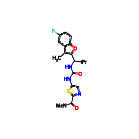 CNC(=O)c1ncc(NC(=O)N[C@@H](c2oc3ccc(F)cc3c2C)C(C)C)s1